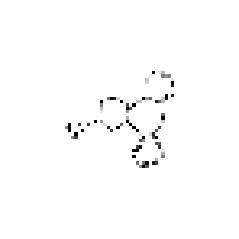 NC1CCC2=C(C1)c1ccccc1Cc1ccccc12